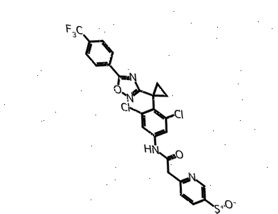 CC[S+]([O-])c1ccc(CC(=O)Nc2cc(Cl)c(C3(c4noc(-c5ccc(C(F)(F)F)cc5)n4)CC3)c(Cl)c2)nc1